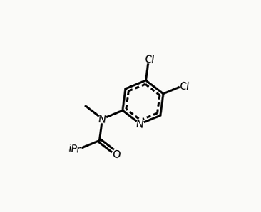 CC(C)C(=O)N(C)c1cc(Cl)c(Cl)cn1